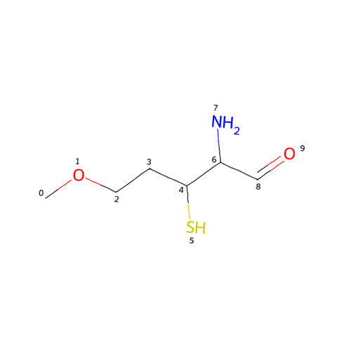 COCCC(S)C(N)C=O